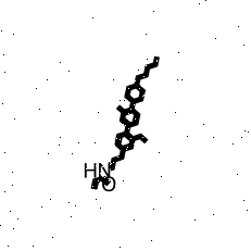 C=CC(=O)NCCCc1ccc(-c2ccc(C3CCC(CCCCC)CC3)c(C)c2)c(CC)c1